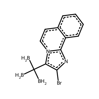 BC(B)(B)c1c(Br)nc2c3ccccc3ccn12